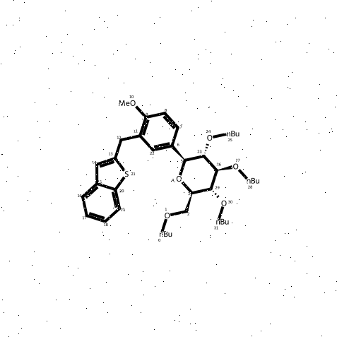 CCCCOC[C@H]1O[C@@H](c2ccc(OC)c(Cc3cc4ccccc4s3)c2)[C@H](OCCCC)[C@@H](OCCCC)[C@@H]1OCCCC